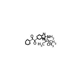 C[C@@H](n1c(N)nc2ccc(C(=O)C(=O)c3ccccc3)cc21)C(C)(C)C